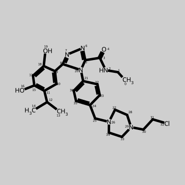 CCNC(=O)c1nnc(-c2cc(C(C)C)c(O)cc2O)n1-c1ccc(CN2CCN(CCCl)CC2)cc1